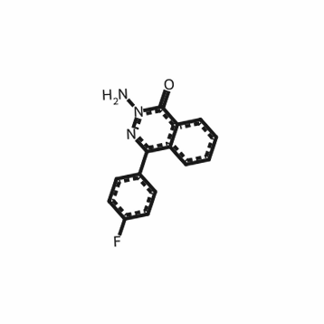 Nn1nc(-c2ccc(F)cc2)c2ccccc2c1=O